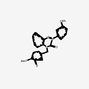 COc1cccc(N2Sc3ccccc3N(Cc3ccc(OC)c(F)c3)C2=O)c1